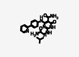 CC(C)C[C@@H](Nc1nc(Nc2ccc(-c3ccccn3)cc2)c(C(N)=O)c(=O)[nH]1)C(N)=O